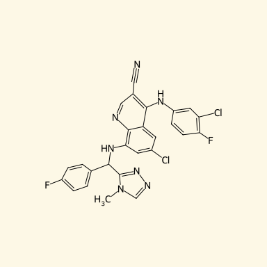 Cn1cnnc1C(Nc1cc(Cl)cc2c(Nc3ccc(F)c(Cl)c3)c(C#N)cnc12)c1ccc(F)cc1